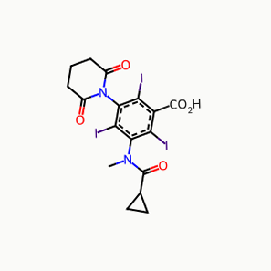 CN(C(=O)C1CC1)c1c(I)c(C(=O)O)c(I)c(N2C(=O)CCCC2=O)c1I